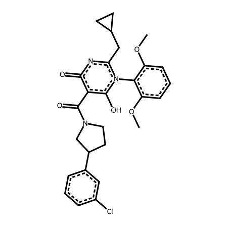 COc1cccc(OC)c1-n1c(CC2CC2)nc(=O)c(C(=O)N2CCC(c3cccc(Cl)c3)C2)c1O